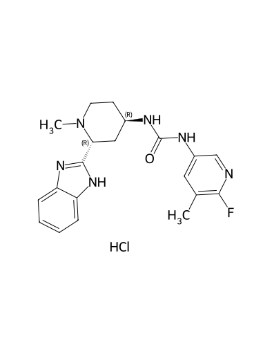 Cc1cc(NC(=O)N[C@@H]2CCN(C)[C@@H](c3nc4ccccc4[nH]3)C2)cnc1F.Cl